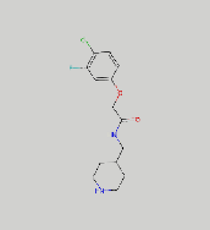 O=C(COc1ccc(Cl)c(F)c1)NCC1CCNCC1